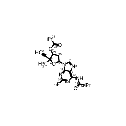 C#CC1(C)OC(n2cnc3c(NC(=O)C(C)C)nc(F)nc32)CC1OC(=O)C(C)C